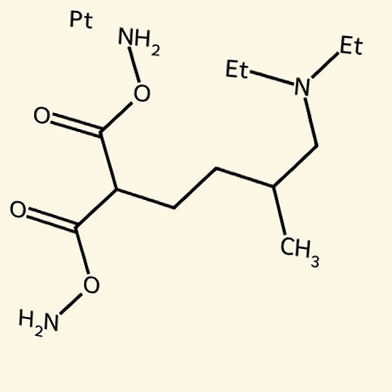 CCN(CC)CC(C)CCC(C(=O)ON)C(=O)ON.[Pt]